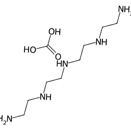 NCCNCCNCCNCCN.O=C(O)O